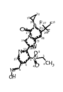 CCS(=O)(=O)c1cc(/C=N/O)cnc1-c1cn2c(=O)n(C3CC3)c(C(F)(F)F)cc2n1